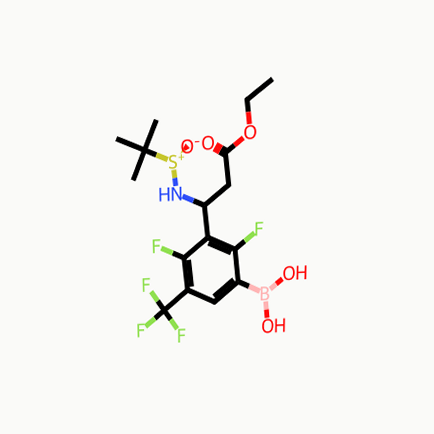 CCOC(=O)CC(N[S@+]([O-])C(C)(C)C)c1c(F)c(B(O)O)cc(C(F)(F)F)c1F